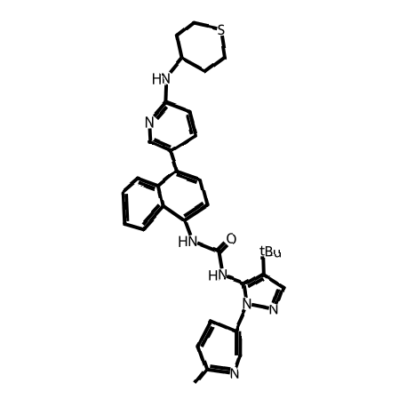 Cc1ccc(-n2ncc(C(C)(C)C)c2NC(=O)Nc2ccc(-c3ccc(NC4CCSCC4)nc3)c3ccccc23)cn1